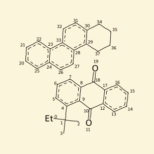 CCC(C)(C)c1cccc2c1C(=O)c1ccccc1C2=O.c1ccc2c(c1)ccc1c3c(ccc12)CCCC3